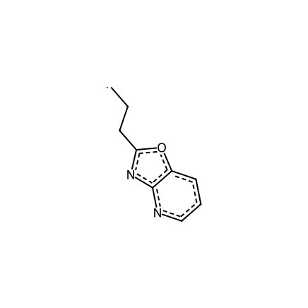 [CH2]CCc1nc2ncccc2o1